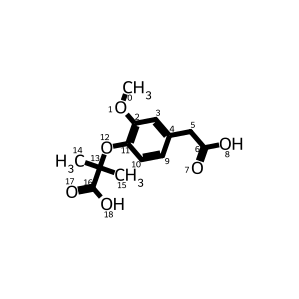 COc1cc(CC(=O)O)ccc1OC(C)(C)C(=O)O